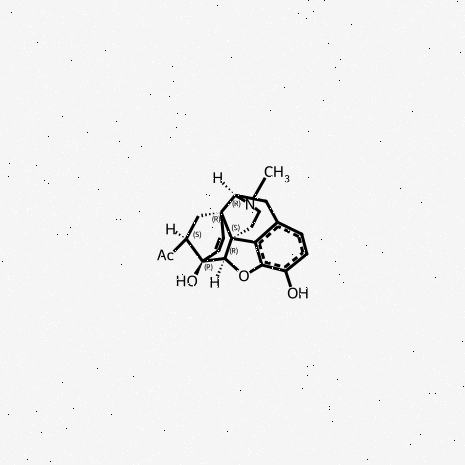 CC(=O)[C@H]1C[C@@]23C=C[C@]1(O)[C@@H]1Oc4c(O)ccc5c4[C@@]12CCN(C)[C@@H]3C5